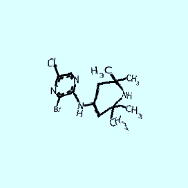 CC1(C)CC(Nc2ncc(Cl)nc2Br)CC(C)(C)N1